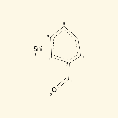 O=Cc1ccccc1.[Sn]